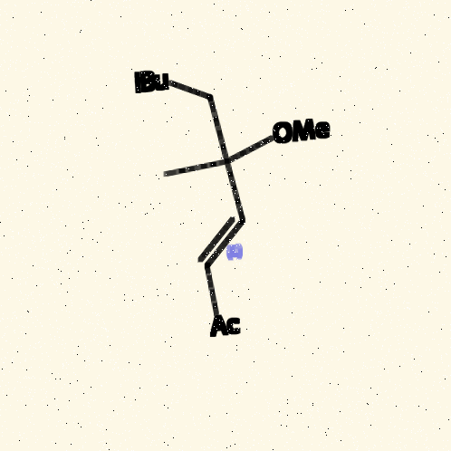 CCC(C)CC(C)(/C=C/C(C)=O)OC